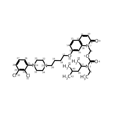 CCN(C(=O)OCn1c(=O)ccc2ccc(OCCCCN3CCN(c4cccc(Cl)c4Cl)CC3)cc21)C(C)CC(C)C